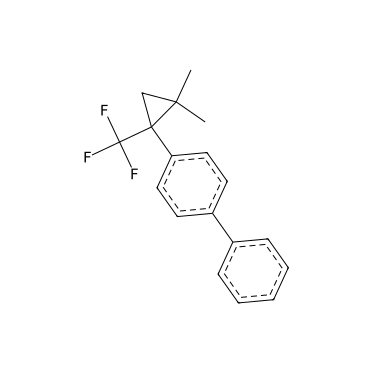 CC1(C)CC1(c1ccc(-c2ccccc2)cc1)C(F)(F)F